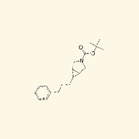 CC(C)(C)OC(=O)N1CC2C(CCCc3ccccc3)C2C1